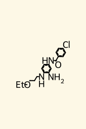 CCOCCCNc1ccc(NC(=O)c2ccc(Cl)cc2)cc1N